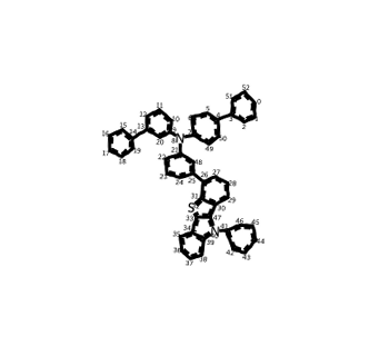 c1ccc(-c2ccc(N(c3cccc(-c4ccccc4)c3)c3cccc(-c4cccc5c4sc4c6ccccc6n(-c6ccccc6)c54)c3)cc2)cc1